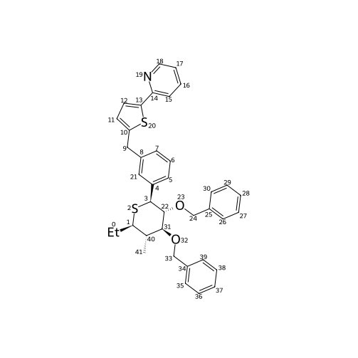 CC[C@H]1S[C@@H](c2cccc(Cc3ccc(-c4ccccn4)s3)c2)[C@H](OCc2ccccc2)[C@@H](OCc2ccccc2)[C@@H]1C